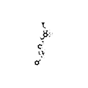 CNS(=O)(=O)c1cc(-c2sc(Nc3cccc(N4CCN(C(=O)OCc5ccccc5)C(C)(C)C4=O)n3)nc2C)cc2c1C(=O)N(CCC1CC1)C2